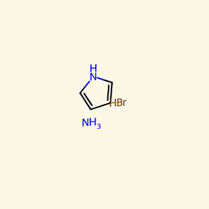 Br.N.c1cc[nH]c1